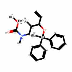 C=CC(O[Si](c1ccccc1)(c1ccccc1)C(C)(C)C)C(CN(C)C(=O)OC(C)(C)C)C(=O)OCC